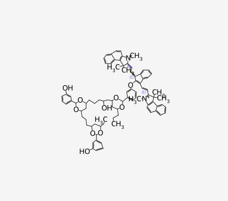 CCCC1CC(CC(O)CCCC2CC(CCCC3CC(CC)OC(c4cccc(O)c4)O3)OC(c3cccc(O)c3)O2)OC(c2cccc(OC3=C(/C=C/C4=[N+](C)c5ccc6ccccc6c5C4(C)C)c4ccccc4/C3=C\C=C3\N(C)c4ccc5ccccc5c4C3(C)C)c2)O1